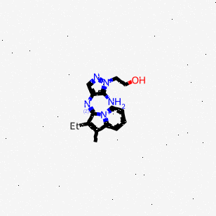 CCC1=C(C)c2cccc[n+]2/C1=N\c1cnn(CCO)c1N